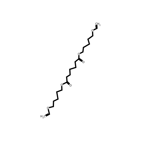 C=COCCCCCOC(=O)CCCCCC(=O)OCCCCCOC=C